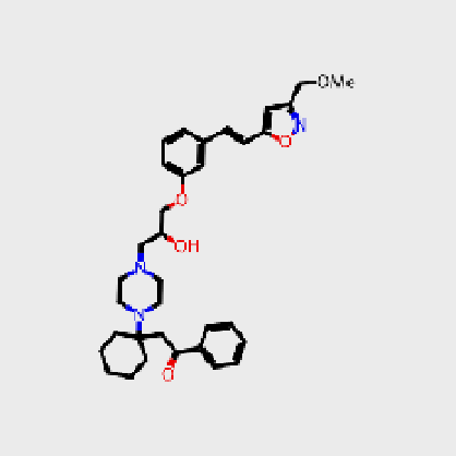 COCc1cc(C=Cc2cccc(OCC(O)CN3CCN(C4(CC(=O)c5ccccc5)CCCCC4)CC3)c2)on1